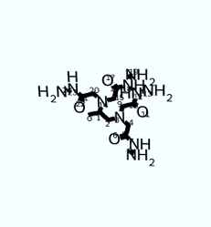 CC(CN(CC(=O)NN)CC(=O)NN)N(CC(=O)NN)CC(=O)NN